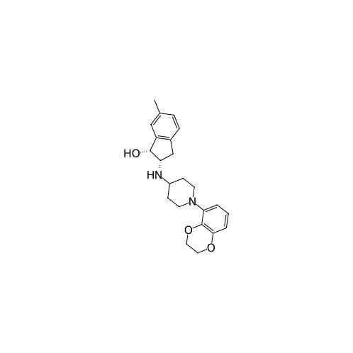 Cc1ccc2c(c1)[C@@H](O)[C@@H](NC1CCN(c3cccc4c3OCCO4)CC1)C2